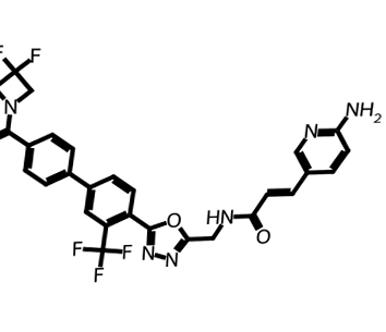 Nc1ccc(/C=C/C(=O)NCc2nnc(-c3ccc(-c4ccc(C(=O)N5CC(F)(F)C5)cc4)cc3C(F)(F)F)o2)cn1